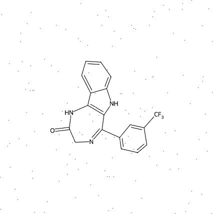 O=C1CN=C(c2cccc(C(F)(F)F)c2)c2[nH]c3ccccc3c2N1